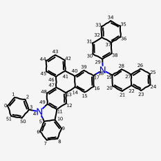 c1ccc(-n2c3ccccc3c3cc4c5ccc(N(c6ccc7ccccc7c6)c6ccc7ccccc7c6)cc5c5ccccc5c4cc32)cc1